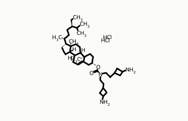 CC[C@H](CC[C@@H](C)[C@H]1CC[C@H]2[C@@H]3CC=C4C[C@@H](OC(=O)N(CCC5CC(N)C5)CCC5CC(N)C5)CC[C@]4(C)[C@H]3CC[C@]12C)C(C)C.Cl.Cl